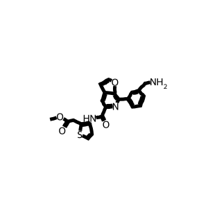 COC(=O)Cc1sccc1NC(=O)c1cc2ccoc2c(-c2cccc(CN)c2)n1